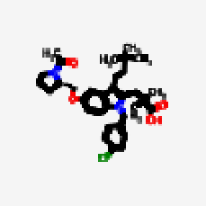 CC(=O)N1CCC[C@H]1COc1ccc2c(c1)c(CCC(C)(C)C)c(CC(C)(C)C(=O)O)n2Cc1ccc(Cl)cc1